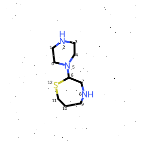 [CH]1CNCCN1C1CNCCCS1